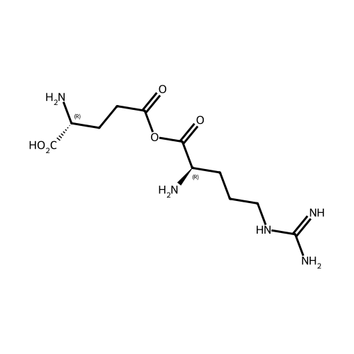 N=C(N)NCCC[C@@H](N)C(=O)OC(=O)CC[C@@H](N)C(=O)O